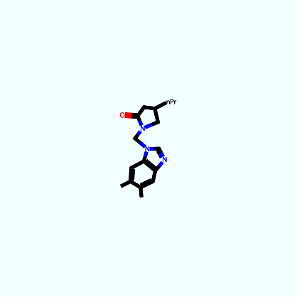 CCCC1CC(=O)N(Cn2cnc3cc(C)c(C)cc32)C1